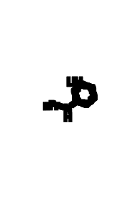 CCCNc1ccccc1.[LiH]